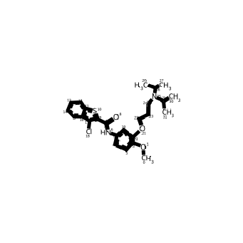 COc1ccc(NC(=O)c2sc3ccccc3c2Cl)cc1OCCCN(C(C)C)C(C)C